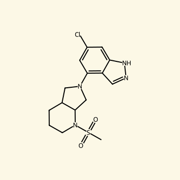 CS(=O)(=O)N1CCCC2CN(c3cc(Cl)cc4[nH]ncc34)CC21